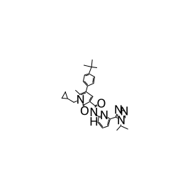 Cc1c(-c2ccc(C(C)(C)C)cc2)cc(C(=O)Nc2cccc(-c3nncn3C(C)C)n2)c(=O)n1CC1CC1